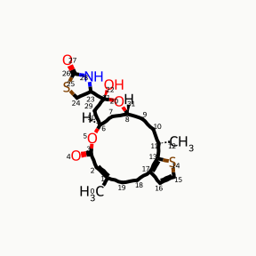 CC1=CC(=O)O[C@@H]2C[C@@H](CC[C@H](C)c3sccc3CC1)O[C@@](O)(C1CSC(=O)N1)C2